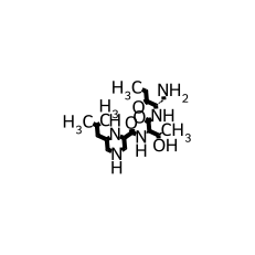 CCC(=O)[C@H](CN)NC(=O)[C@@H](NC(=O)C1CNCC(CC(C)C)N1)[C@H](C)O